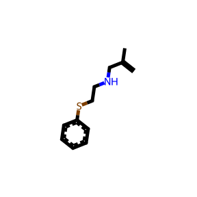 C=C(C)CNCCSc1ccccc1